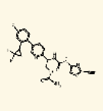 C#Cc1nc(NC(=O)N[C@@H](COC(N)=O)c2ccc(-c3ccc(F)cc3C3CC3(F)F)cn2)cs1